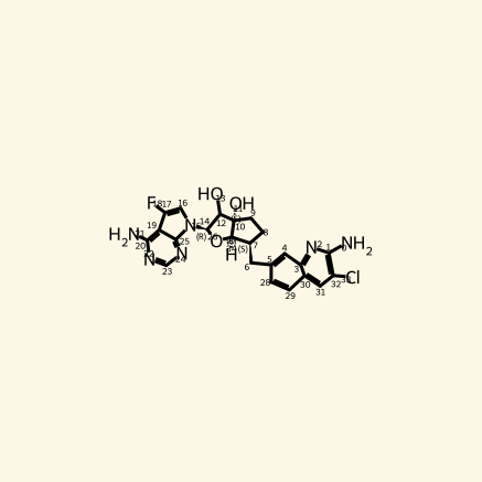 Nc1nc2cc(C[C@@H]3CC[C@]4(O)C(O)[C@H](n5cc(F)c6c(N)ncnc65)O[C@H]34)ccc2cc1Cl